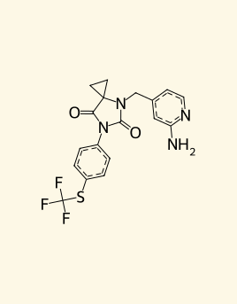 Nc1cc(CN2C(=O)N(c3ccc(SC(F)(F)F)cc3)C(=O)C23CC3)ccn1